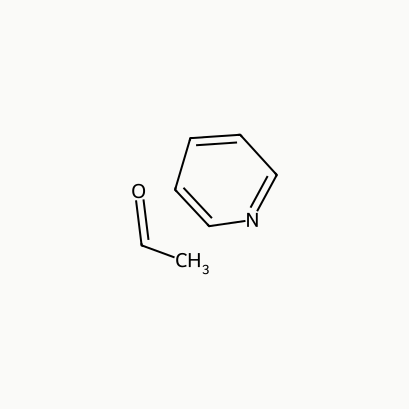 CC=O.c1ccncc1